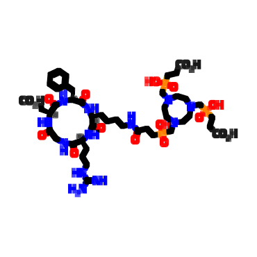 N=C(N)NCCC[C@@H]1NC(=O)[C@H](CCCCNC(=O)CCP(=O)(O)CN2CCN(CP(=O)(O)CCC(=O)O)CCN(CP(=O)(O)CCC(=O)O)CC2)NC(=O)[C@@H](Cc2ccccc2)NC(=O)[C@H](CC(=O)O)NC(=O)CNC1=O